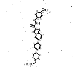 O=C(O)C[C@H]1CC[C@H](c2ccc(-c3ccc4nc(C(=O)NCc5ccc(OC(F)(F)F)cc5)cn4c3)cc2)CC1